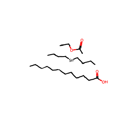 CCCCCCCCCCCC(=O)O.CCC[CH2][Sn][CH2]CCC.CCOC(C)=O